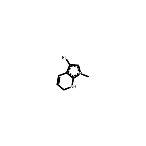 CCc1cn(C)c2c1C=CCN2